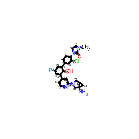 Cn1ccn(-c2ccc(-c3cc(F)cc(-c4ccnc(N5CC6CC6(N)C5)c4)c3O)cc2Cl)c1=O